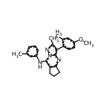 COc1ccc(-c2c(C)nn3c(Nc4cccc(C)c4)c4c(nc23)CCC4)c(C)c1